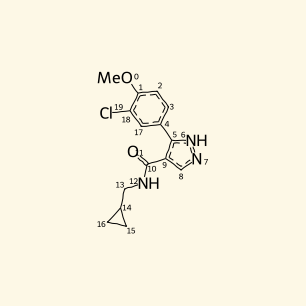 COc1ccc(-c2[nH]ncc2C(=O)NCC2CC2)cc1Cl